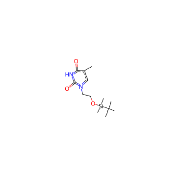 Cc1cn(CCO[Si](C)(C)C(C)(C)C)c(=O)[nH]c1=O